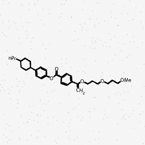 C=C(OCCCOCCCOC)c1ccc(C(=O)Oc2ccc(C3CCC(CCC)CC3)cc2)cc1